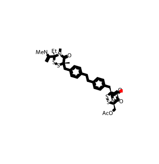 C=C(NC)[C@]1(CC)SS[C@@](C)(Cc2ccc(CCc3ccc(C[C@@]45SS[C@@](COC(C)=O)(C(=O)N4C)N(C)C5=O)cc3)cc2)C(=O)N1C